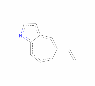 C=[C]c1cccc2nccc-2c1